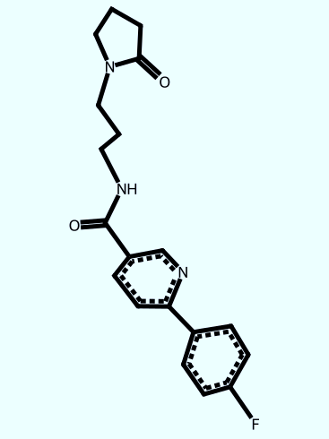 O=C(NCCCN1CCCC1=O)c1ccc(-c2ccc(F)cc2)nc1